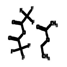 CCOC(C)=O.O=C(OC(=O)C(F)(F)F)C(F)(F)F